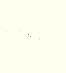 O=C(NN1CCN(C(=O)C2CC2)CC1)c1ccc(F)cc1